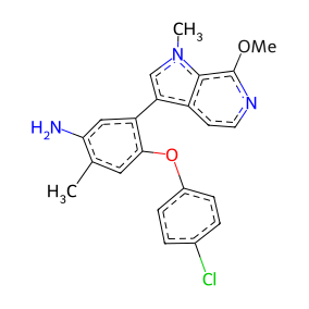 COc1nccc2c(-c3cc(N)c(C)cc3Oc3ccc(Cl)cc3)cn(C)c12